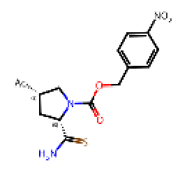 CC(=O)[C@H]1C[C@@H](C(N)=S)N(C(=O)OCc2ccc([N+](=O)[O-])cc2)C1